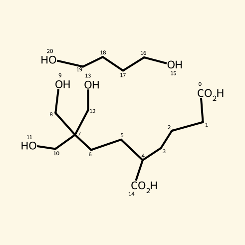 O=C(O)CCCC(CCC(CO)(CO)CO)C(=O)O.OCCCCO